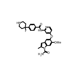 COc1cc2c(cc1Oc1ccnc(NC(=O)c3ccc(C4(F)CCNCC4)cc3)c1)cc(C)n2C(N)=O